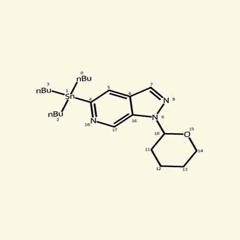 CCC[CH2][Sn]([CH2]CCC)([CH2]CCC)[c]1cc2cnn(C3CCCCO3)c2cn1